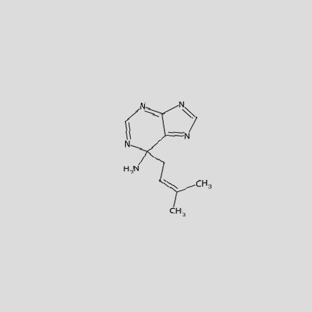 CC(C)=CCC1(N)N=CN=C2N=CN=C21